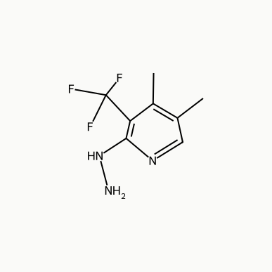 Cc1cnc(NN)c(C(F)(F)F)c1C